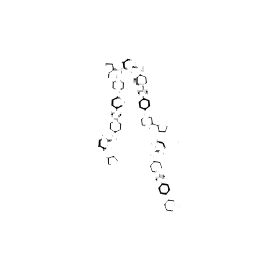 C[C@@H]1CN(c2ccc(S(=O)(=O)N3CCC(Nc4ncc(C(F)(F)F)c(O[C@H]5CCOC5)n4)CC3)cn2)C[C@H](CC2OCC[C@@H]2Oc2nc(NC3CCN(S(=O)(=O)c4ccc(N5CCNC(C6OCC[C@@H]6Oc6nc(NC7CCN(S(=O)(=O)c8ccc([C@H]9CCCNC9)cc8)CC7)ncc6C(F)(F)F)C5)cc4)CC3)ncc2C(F)(F)F)N1